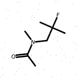 CC(=O)N(C)CC(C)(C)F